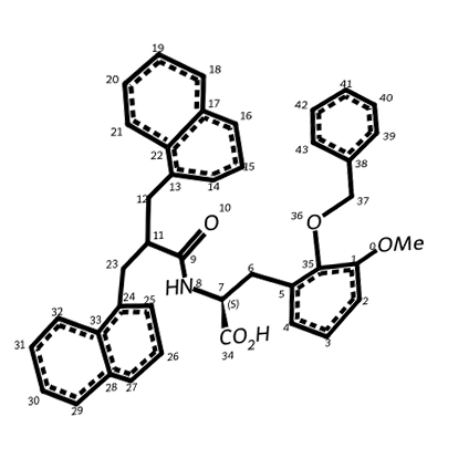 COc1cccc(C[C@H](NC(=O)C(Cc2cccc3ccccc23)Cc2cccc3ccccc23)C(=O)O)c1OCc1ccccc1